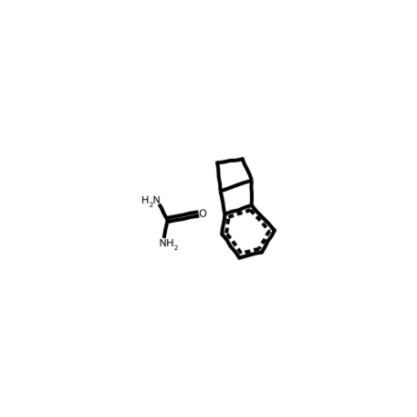 NC(N)=O.c1ccc2c(c1)C1CCC21